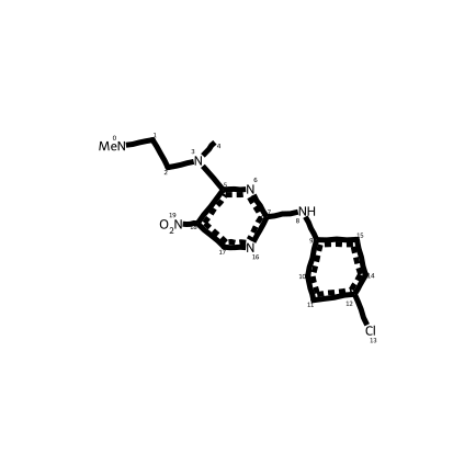 CNCCN(C)c1nc(Nc2ccc(Cl)cc2)ncc1[N+](=O)[O-]